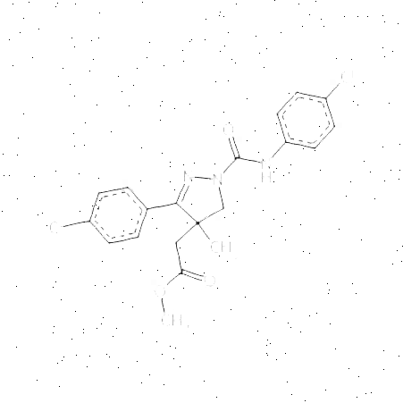 COC(=O)CC1(C)CN(C(=O)Nc2ccc(Cl)cc2)N=C1c1ccc(Cl)cc1